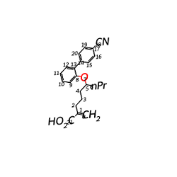 C=C(CCCC(CCC)Oc1ccccc1-c1ccc(C#N)cc1)C(=O)O